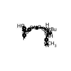 Cc1ncsc1-c1ccc(CNC(=O)[C@@H]2CCCN2C(=O)C(NC(=O)COCCO[C@@H]2CCN(CCOc3ccc(Oc4c(-c5ccc(F)cc5)sc5cc(O)ccc45)cc3)C2)C(C)(C)C)cc1